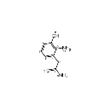 NC(=O)Cc1cccc(O)c1N